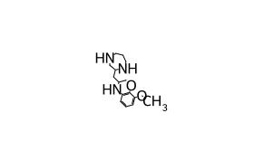 COc1cccc2c1OCC(CC1CNCCCN1)N2